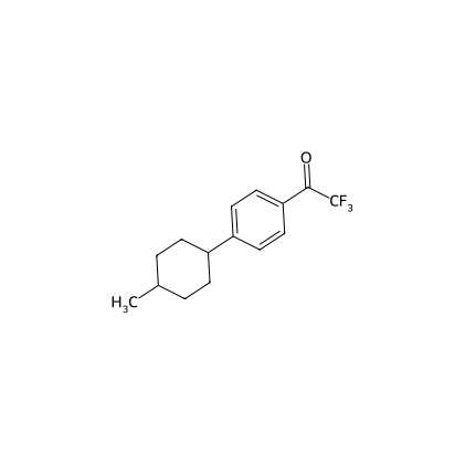 CC1CCC(c2ccc(C(=O)C(F)(F)F)cc2)CC1